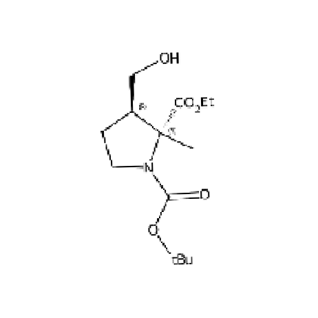 CCOC(=O)[C@@]1(C)[C@H](CO)CCN1C(=O)OC(C)(C)C